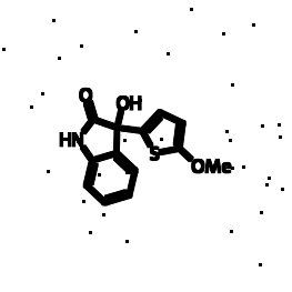 COc1ccc(C2(O)C(=O)Nc3ccccc32)s1